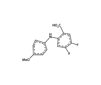 COc1ccc(Nc2cc(F)c(F)cc2C(=O)O)cc1